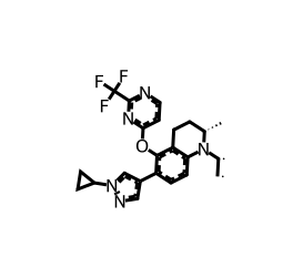 [CH2][CH]N1c2ccc(-c3cnn(C4CC4)c3)c(Oc3ccnc(C(F)(F)F)n3)c2CC[C@@H]1C